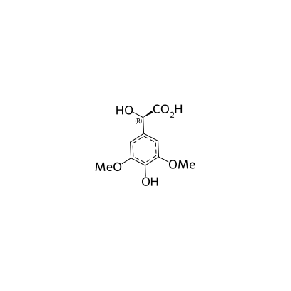 COc1cc([C@@H](O)C(=O)O)cc(OC)c1O